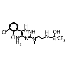 CN(CCNC[C@H](O)C(F)(F)F)C1=NC(N)=C(c2cccc(Cl)c2Cl)NN1